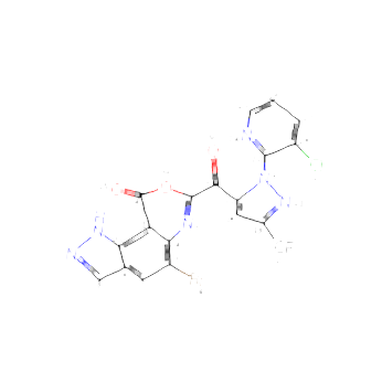 O=C(c1nc2c(Br)cc3cn[nH]c3c2c(=O)o1)c1cc(C(F)(F)F)nn1-c1ncccc1Cl